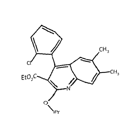 CCOC(=O)c1c(OC(C)C)nc2cc(C)c(C)cc2c1-c1ccccc1Cl